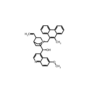 C=CC1C[N+]2(Cc3c(C)c4ccccc4c4ccccc34)CCC1CC2[C@@H](O)c1ccnc2ccc(OC)cc12